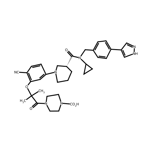 CC(C)(Oc1cc(N2CCC[C@@H](C(=O)N(Cc3ccc(-c4cn[nH]c4)cc3)C3CC3)C2)ccc1C#N)C(=O)N1CCN(C(=O)O)CC1